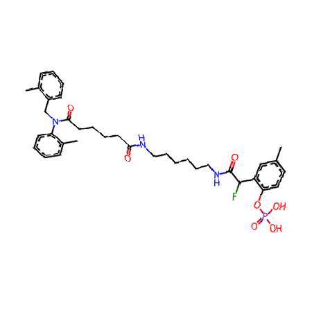 Cc1ccc(OP(=O)(O)O)c(C(F)C(=O)NCCCCCCNC(=O)CCCCC(=O)N(Cc2ccccc2C)c2ccccc2C)c1